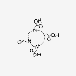 O=CCN1CCCN(CC(=O)O)CCN(CC(=O)O)CCCN(CC(=O)O)CC1